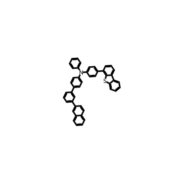 c1ccc(N(c2ccc(-c3cccc(-c4ccc5ccccc5c4)c3)cc2)c2ccc(-c3cccc4c3sc3ccccc34)cc2)cc1